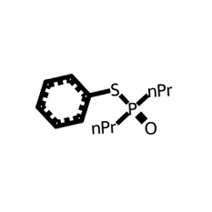 CCCP(=O)(CCC)Sc1ccccc1